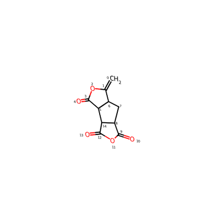 C=C1OC(=O)C2C1CC1C(=O)OC(=O)C12